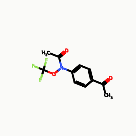 CC(=O)c1ccc(N(OC(F)(F)F)C(C)=O)cc1